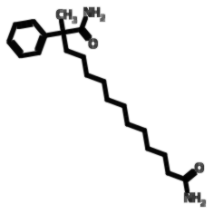 CC(CCCCCCCCCCCC(N)=O)(C(N)=O)c1ccccc1